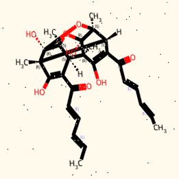 C/C=C/C=C/C(=O)C1=C(O)[C@@]2(C)[C@H]3C(C(=O)/C=C/C=C/C)=C(O)[C@@]4(C)[C@@H]1[C@]1(C)O[C@@]4(O)[C@@]3(C)O[C@@]12O